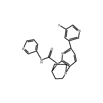 O=C(Nc1cccnc1)N1c2nc(-c3cncc(F)c3)ccc2N2CCC1CC2